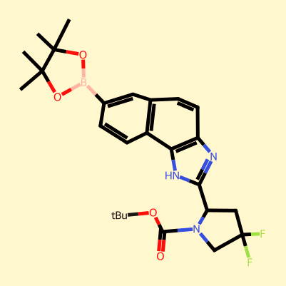 CC(C)(C)OC(=O)N1CC(F)(F)CC1c1nc2ccc3cc(B4OC(C)(C)C(C)(C)O4)ccc3c2[nH]1